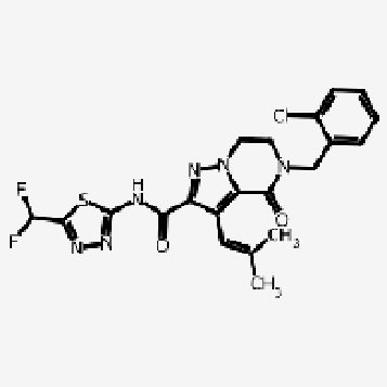 CC(C)=Cc1c(C(=O)Nc2nnc(C(F)F)s2)nn2c1C(=O)N(Cc1ccccc1Cl)CC2